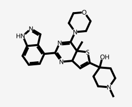 CN1CCC(O)(C2=CC3N=C(c4cccc5[nH]ncc45)N=C(N4CCOCC4)C3(C)S2)CC1